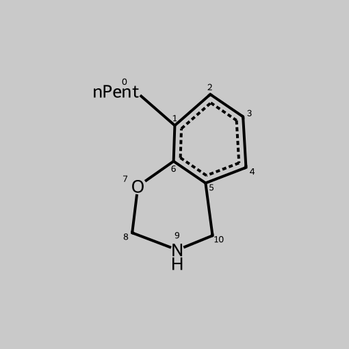 CCCCCc1cccc2c1OCNC2